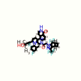 CC(C)(O)C#Cc1ccc(-c2cccc3c(=O)[nH]ccc23)c([C@H](Cc2cc(F)cc(F)c2)NC(=O)Cn2nc(C(F)(F)F)c3c2C(F)(F)[C@@H]2CC[C@H]32)n1